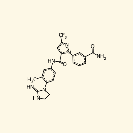 Cc1cc(NC(=O)c2cc(C(F)(F)F)nn2-c2cccc(C(N)=O)c2)ccc1N1CCNC1=N